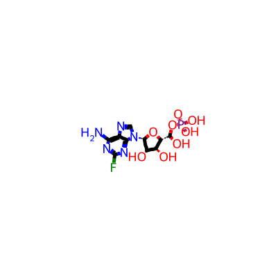 Nc1nc(F)nc2c1ncn2[C@@H]1O[C@H](C(O)OP(=O)(O)O)[C@@H](O)[C@@H]1O